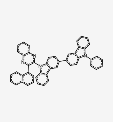 c1ccc(-n2c3ccccc3c3cc(-c4ccc5c(c4)c4ccccc4n5-c4nc5ccccc5nc4-c4cccc5ccccc45)ccc32)cc1